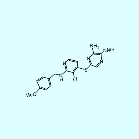 CNc1ncc(Sc2ccnc(NCc3ccc(OC)cc3)c2Cl)nc1N